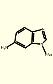 CCCCn1cnc2ccc(N)cc21